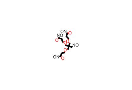 O=NCC(COCCC(=O)N=O)(COCCC(=O)N=O)COCCC(=O)N=O